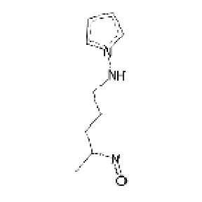 CC(CCCNn1cccc1)N=O